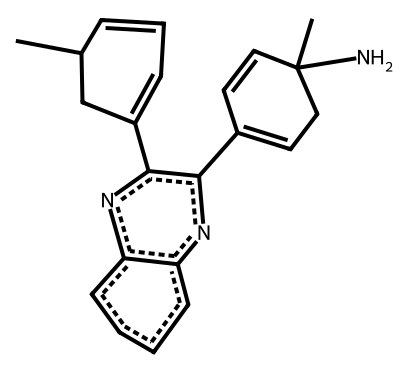 CC1C=CC=C(c2nc3ccccc3nc2C2=CCC(C)(N)C=C2)C1